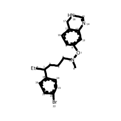 CCC(CCCN(C)Oc1ccc2c(c1)N=CNC2)c1ccc(Br)cc1